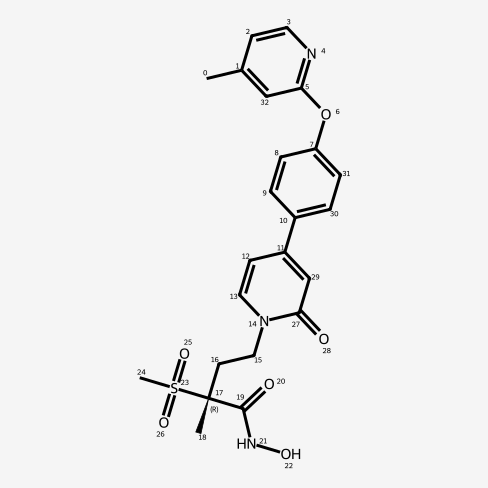 Cc1ccnc(Oc2ccc(-c3ccn(CC[C@](C)(C(=O)NO)S(C)(=O)=O)c(=O)c3)cc2)c1